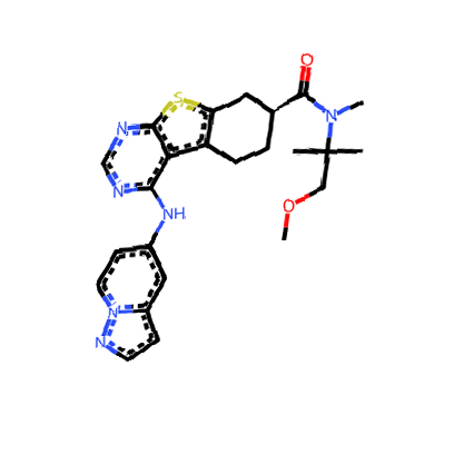 COCC(C)(C)N(C)C(=O)[C@H]1CCc2c(sc3ncnc(Nc4ccn5nccc5c4)c23)C1